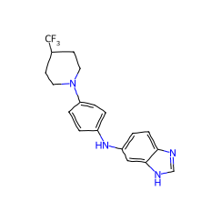 FC(F)(F)C1CCN(c2ccc(Nc3ccc4nc[nH]c4c3)cc2)CC1